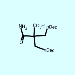 CCCCCCCCCCCC(CCCCCCCCCCC)(C(N)=O)C(=O)O